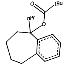 CCCC1(OC(=O)C(C)(C)C)CCCCc2ccccc21